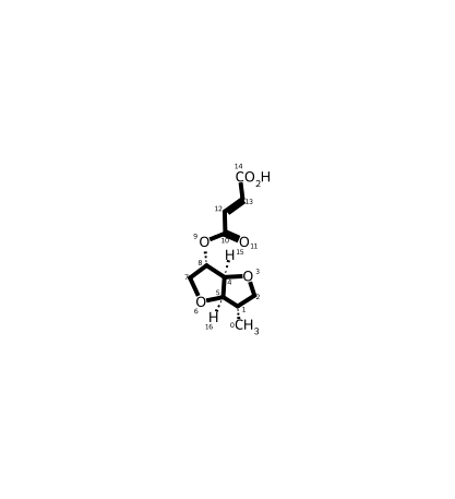 C[C@H]1CO[C@H]2[C@@H]1OC[C@@H]2OC(=O)C=CC(=O)O